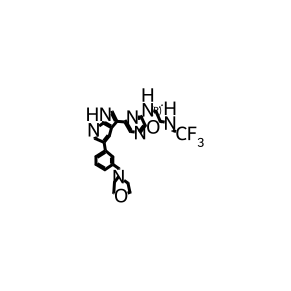 C[C@@H](Nc1cncc(-c2c[nH]c3ncc(-c4cccc(CN5CCOCC5)c4)cc23)n1)C(=O)NCC(F)(F)F